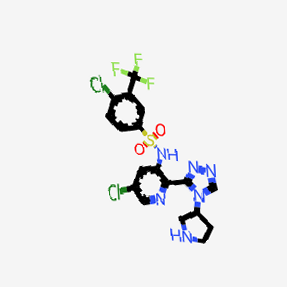 O=S(=O)(Nc1cc(Cl)cnc1-c1nncn1C1CCNC1)c1ccc(Cl)c(C(F)(F)F)c1